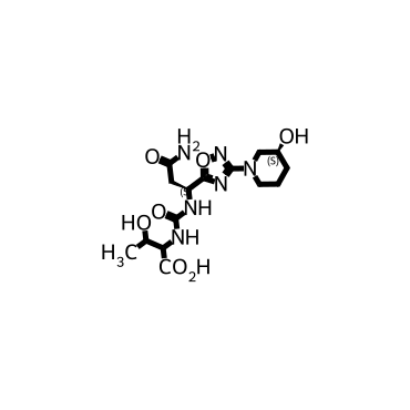 CC(O)C(NC(=O)N[C@@H](CC(N)=O)c1nc(N2CCC[C@H](O)C2)no1)C(=O)O